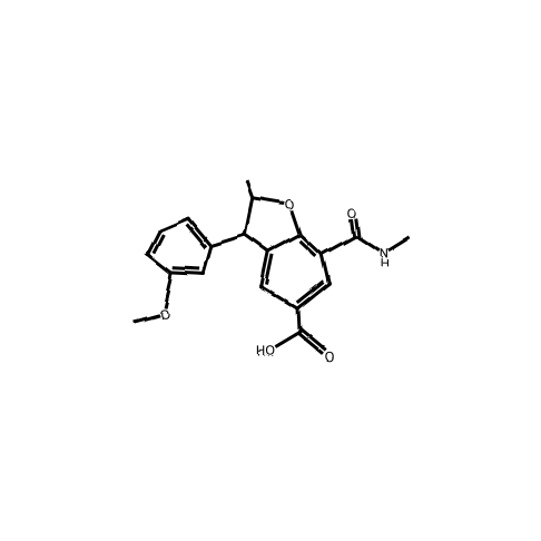 CNC(=O)c1cc(C(=O)O)cc2c1OC(C)C2c1cccc(OC)c1